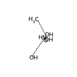 CCCCCCCCCCCCCC(O)C(CO)NC(=O)CCCCCCCCCCCCCCCO